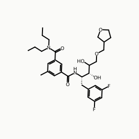 CCCN(CCC)C(=O)c1cc(C)cc(C(=O)N[C@@H](Cc2cc(F)cc(F)c2)[C@@H](O)C(O)COCC2CCOC2)c1